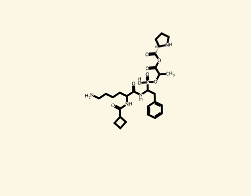 CC(OP(=O)(O)C(Cc1ccccc1)NC(=O)C(CCCCN)NC(=O)C1CCC1)C(=O)OC(=O)[C@@H]1CCCN1